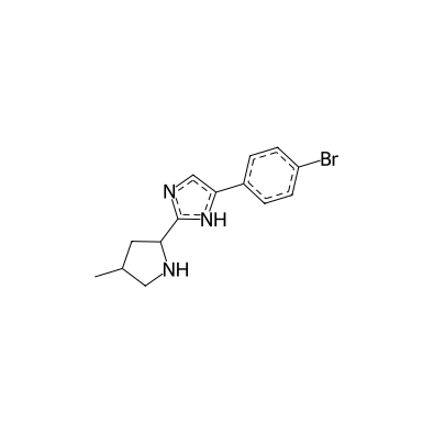 CC1CNC(c2ncc(-c3ccc(Br)cc3)[nH]2)C1